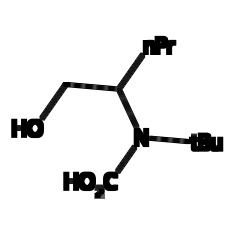 CCCC(CO)N(C(=O)O)C(C)(C)C